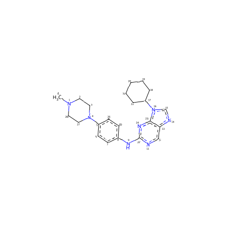 CN1CCN(c2ccc(Nc3ncc4ncn(C5CCCCC5)c4n3)cc2)CC1